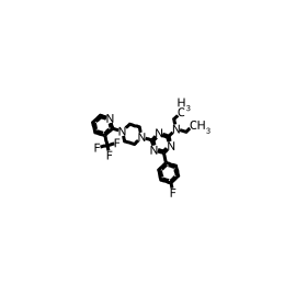 CCN(CC)c1nc(-c2ccc(F)cc2)nc(N2CCN(c3ncccc3C(F)(F)F)CC2)n1